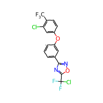 FC(F)(F)c1ccc(Oc2[c]ccc(-c3noc(C(F)(F)Cl)n3)c2)cc1Cl